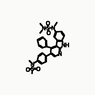 CN(c1ccc(-c2cnc3[nH]c4ccc(N(C)S(=O)(=O)N(C)C)cc4c3c2-c2ccccc2)cc1)S(C)(=O)=O